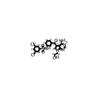 Nc1ncnc2c1c(C(=O)c1cccc(NS(=O)(=O)c3cc(Cl)cc(Cl)c3)c1)cn2CCO